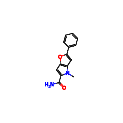 Cn1c(C(N)=O)cc2oc(-c3ccccc3)cc21